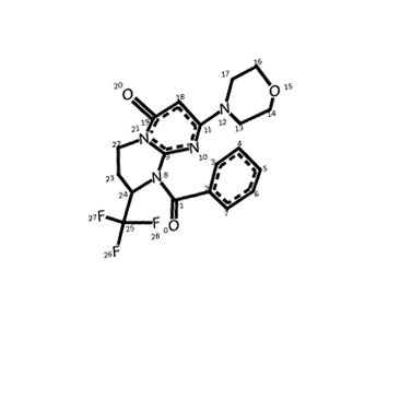 O=C(c1ccccc1)N1c2nc(N3CCOCC3)cc(=O)n2CCC1C(F)(F)F